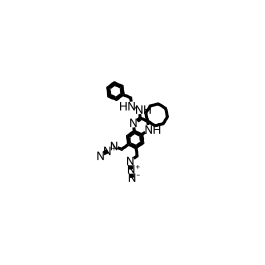 [N-]=[N+]=NCc1cc2c(cc1CN=[N+]=[N-])NC1(CCCCCCC1)C(NNCc1ccccc1)=N2